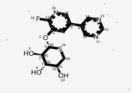 O[C@@H]1[C@@H](O)[C@H](Oc2cc(-c3cncnc3)cnc2F)SC[C@H]1O